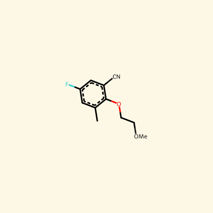 COCCOc1c(C)cc(F)cc1C#N